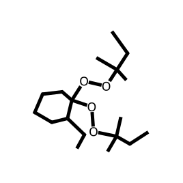 CCC1CCCCC1(OOC(C)(C)CC)OOC(C)(C)CC